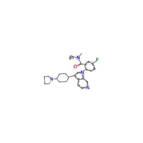 CC(C)N(C)C(=O)c1cc(F)ccc1-n1cc(C2CCC(N3CCCC3)CC2)c2ccncc21